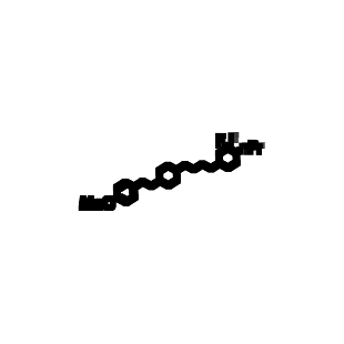 CCCC1CCC(CCCCC2CCC(CCc3ccc(OC)cc3)CC2)CC1(F)F